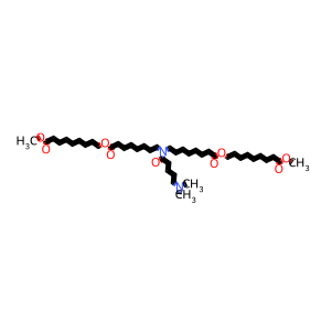 COC(=O)CCCCCCCCOC(=O)CCCCCCCN(CCCCCCCC(=O)OCCCCCCCCC(=O)OC)C(=O)CCCCN(C)C